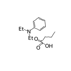 CCCS(=O)(=O)O.CCN(CC)c1ccccc1